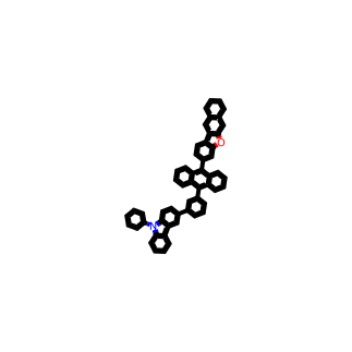 c1ccc(-n2c3ccccc3c3cc(-c4cccc(-c5c6ccccc6c(-c6ccc7c(c6)oc6cc8ccccc8cc67)c6ccccc56)c4)ccc32)cc1